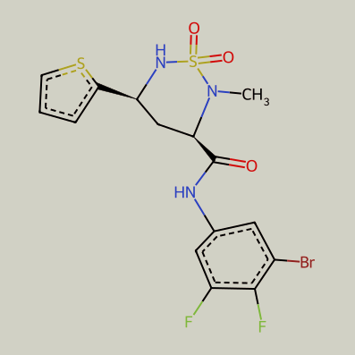 CN1[C@@H](C(=O)Nc2cc(F)c(F)c(Br)c2)C[C@@H](c2cccs2)NS1(=O)=O